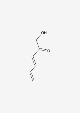 C=CC=CC(=O)CO